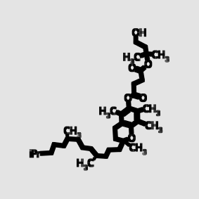 Cc1c(C)c2c(c(C)c1OC(=O)CCC(=O)OC(C)(C)CCO)CC[C@@](C)(CCC[C@H](C)CCC[C@H](C)CCCC(C)C)O2